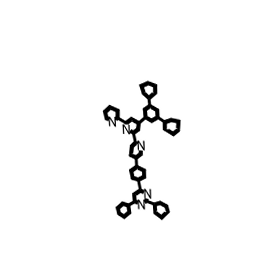 c1ccc(-c2cc(-c3ccccc3)cc(-c3cc(-c4ccccn4)nc(-c4ccc(-c5ccc(-c6cc(-c7ccccc7)nc(-c7ccccc7)n6)cc5)cn4)c3)c2)cc1